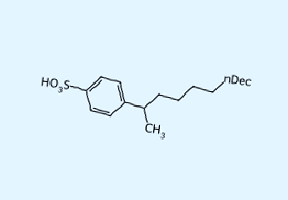 CCCCCCCCCCCCCCC(C)c1ccc(S(=O)(=O)O)cc1